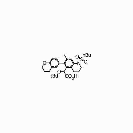 CCCCS(=O)(=O)N1CCCc2c1cc(C)c(-c1ccc3c(c1)CCCO3)c2C(OC(C)(C)C)C(=O)O